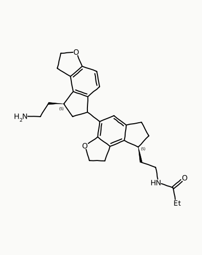 CCC(=O)NCC[C@@H]1CCc2cc(C3C[C@@H](CCN)c4c3ccc3c4CCO3)c3c(c21)CCO3